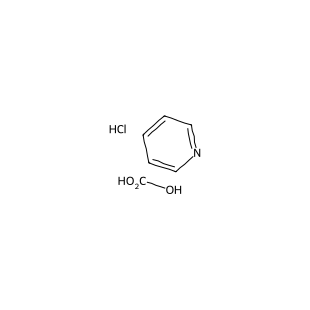 Cl.O=C(O)O.c1ccncc1